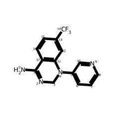 NC1=NCN(c2cccnc2)c2cc(C(F)(F)F)ccc21